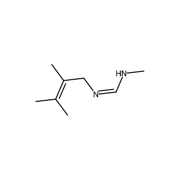 CN/C=N\CC(C)=C(C)C